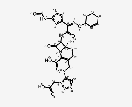 O=CNc1nc(/C(=N/OC2C=CCCC2)C(=O)NC2C(=O)N3C(C(=O)O)=C(CSc4nnnn4CC(=O)O)CS[C@H]23)cs1